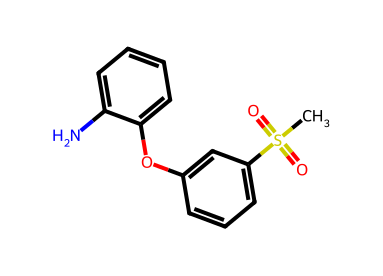 CS(=O)(=O)c1cccc(Oc2ccccc2N)c1